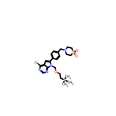 C[Si](C)(C)CCOCn1c(-c2ccc(CN3CCS(=O)(=O)CC3)cc2)cc2c(Cl)ncnc21